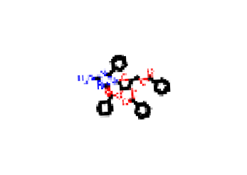 Nc1nc(-c2ccccc2)n(C2OC(COC(=O)c3ccccc3)C(OC(=O)c3ccccc3)C2OC(=O)c2ccccc2)c(=O)n1